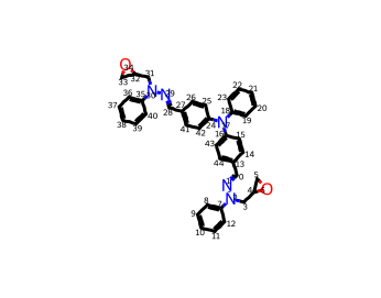 C(=N\N(CC1CO1)c1ccccc1)/c1ccc(N(c2ccccc2)c2ccc(/C=N/N(CC3CO3)c3ccccc3)cc2)cc1